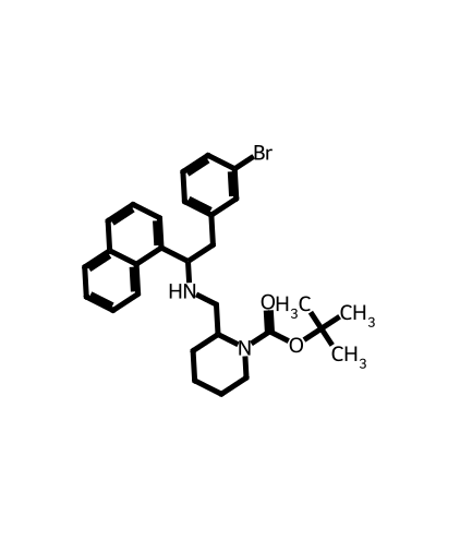 CC(C)(C)OC(=O)N1CCCCC1CNC(Cc1cccc(Br)c1)c1cccc2ccccc12